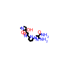 CN1CC[C@@](O)(c2cc(-c3cccc(-n4cc(C(N)=O)c(N)n4)n3)no2)C1=O